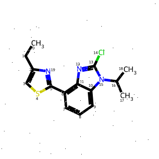 CCc1csc(-c2cccc3c2nc(Cl)n3C(C)C)n1